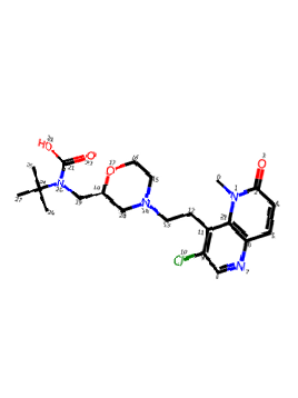 Cn1c(=O)ccc2ncc(Cl)c(CCN3CCO[C@H](CN(C(=O)O)C(C)(C)C)C3)c21